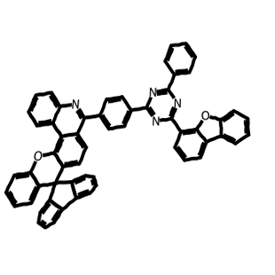 c1ccc(-c2nc(-c3ccc(-c4nc5ccccc5c5c6c(ccc45)C4(c5ccccc5O6)c5ccccc5-c5ccccc54)cc3)nc(-c3cccc4c3oc3ccccc34)n2)cc1